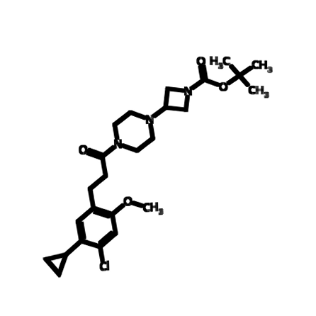 COc1cc(Cl)c(C2CC2)cc1CCC(=O)N1CCN(C2CN(C(=O)OC(C)(C)C)C2)CC1